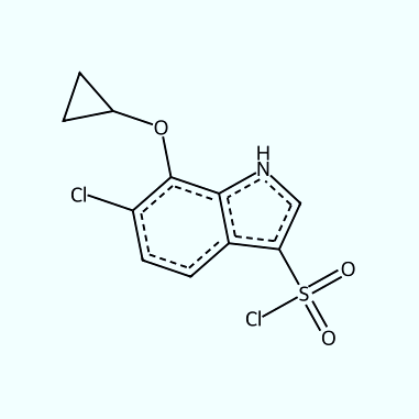 O=S(=O)(Cl)c1c[nH]c2c(OC3CC3)c(Cl)ccc12